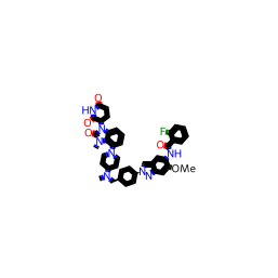 COc1cc2nn([C@H]3CC[C@H](CN(C)C4CCN(c5cccc6c5n(C)c(=O)n6C5CCC(=O)NC5=O)CC4)CC3)cc2cc1NC(=O)c1ccccc1F